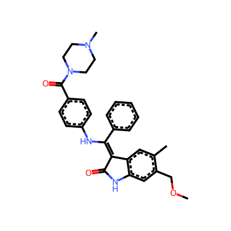 COCc1cc2c(cc1C)/C(=C(/Nc1ccc(C(=O)N3CCN(C)CC3)cc1)c1ccccc1)C(=O)N2